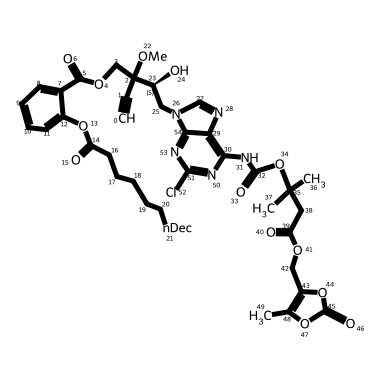 C#CC(COC(=O)c1ccccc1OC(=O)CCCCCCCCCCCCCCC)(OC)[C@@H](O)Cn1cnc2c(NC(=O)OC(C)(C)CC(=O)OCc3oc(=O)oc3C)nc(Cl)nc21